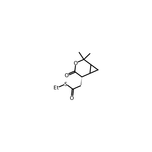 CCSC(=O)C[C@@H]1C(=O)OC(C)(C)C2CC21